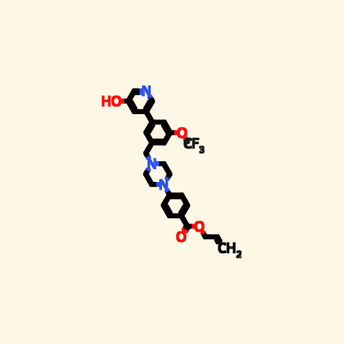 C=CCOC(=O)c1ccc(N2CCN(Cc3cc(OC(F)(F)F)cc(-c4cncc(O)c4)c3)CC2)cc1